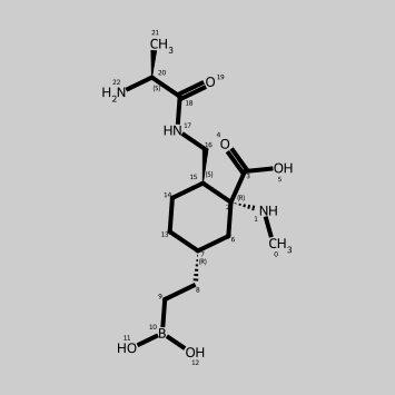 CN[C@]1(C(=O)O)C[C@H](CCB(O)O)CC[C@H]1CNC(=O)[C@H](C)N